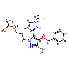 CC(=O)OCCCn1nc(C)c(OCc2ccccc2)c1-c1ncn(C)n1